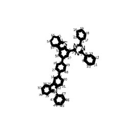 C1=c2sc3c(-c4nc(-c5ccccc5)nc(-c5ccccc5)n4)cc(-c4ccc(-c5ccc6c(c5)c5ccccc5n6-c5ccccc5)cc4)cc3c2=CCC1